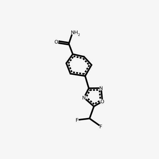 NC(=O)c1ccc(-c2noc(C(F)F)n2)cc1